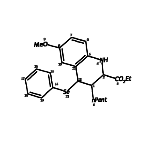 CCCCCC1C(C(=O)OCC)Nc2ccc(OC)cc2C1[Se]c1ccccc1